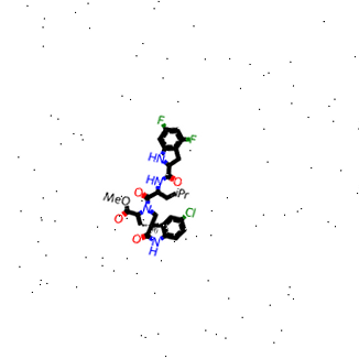 COC(=O)C1C[C@@]2(CN1C(=O)C(CC(C)C)NC(=O)C1Cc3c(F)cc(F)cc3N1)C(=O)Nc1ccc(Cl)cc12